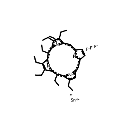 CCC1=C(CC)c2nc1c(CC)c1[nH]c(cc3nc(cc4c(CC)c(CC)c(c2CC)n4CC)C=C3)cc1CC.[F-].[F-].[F-].[F-].[Sn+4]